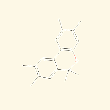 Cc1cc2c(cc1C)-c1cc(C)c(C)cc1C(C)(C)O2